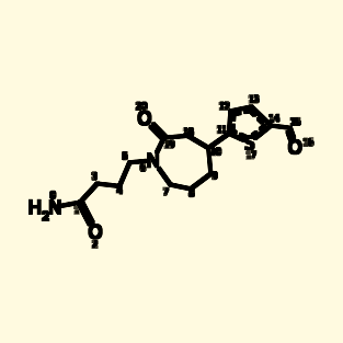 NC(=O)CCCN1CCCC(c2ccc(C=O)s2)CC1=O